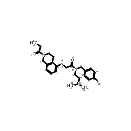 CCC(=O)N1CCc2c(cccc2NCC(=O)N(CCN(C)C)Cc2ccc(F)cc2)C1